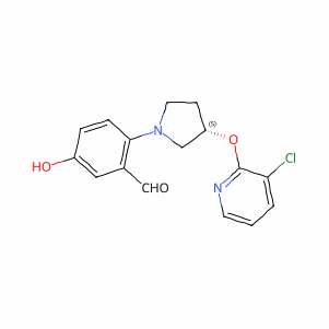 O=Cc1cc(O)ccc1N1CC[C@H](Oc2ncccc2Cl)C1